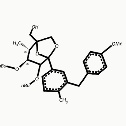 CCCCOC1[C@@H](OCCCC)[C@H](C)C2(CO)COC1(c1ccc(C)c(Cc3ccc(OC)cc3)c1)O2